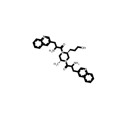 C[C@@H]1CN(C(=O)C(N)Cc2cnc3ccccc3c2)[C@@H](CCCO)CN1C(=O)C(N)Cc1cnc2ccccc2c1